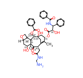 CC(=O)O[C@@]12CO[C@@H]1C[C@H](O)[C@@]1(C)C(=O)[C@H](CC(=O)NCN)C3=C(C)[C@@H](OC(=O)[C@H](O)C(NC(=O)c4ccccc4)c4ccccc4)C[C@](O)(C3)[C@@H](OC(=O)c3ccccc3)[C@H]21